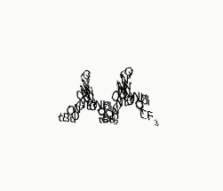 CCc1c(N2CCN(C(=O)OC(C)(C)C)CC2)c(=O)n2nc(N3CCCOCC3)nc2n1CC(=O)Nc1ccc(C(F)(F)F)cc1Cl.CCc1c(N2CCN(C(=O)OC(C)(C)C)CC2)c(=O)n2nc(N3CCCOCC3)nc2n1CC(=O)Nc1ccc(C(F)(F)F)cc1Cl